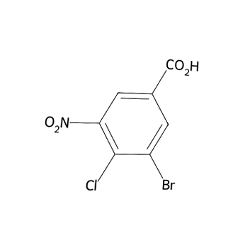 O=C(O)c1cc(Br)c(Cl)c([N+](=O)[O-])c1